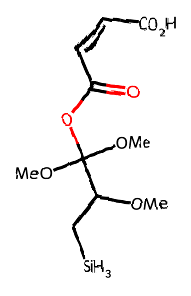 COC(C[SiH3])C(OC)(OC)OC(=O)/C=C\C(=O)O